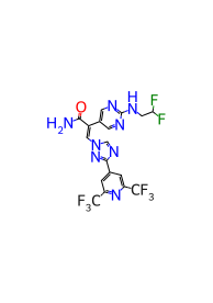 NC(=O)/C(=C/n1cnc(-c2cc(C(F)(F)F)nc(C(F)(F)F)c2)n1)c1cnc(NCC(F)F)nc1